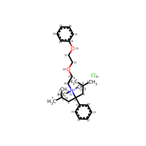 CC(C)CC(CC(C)C)(c1ccccc1)[N+](C)(C)CCOCCOc1ccccc1.[Cl-]